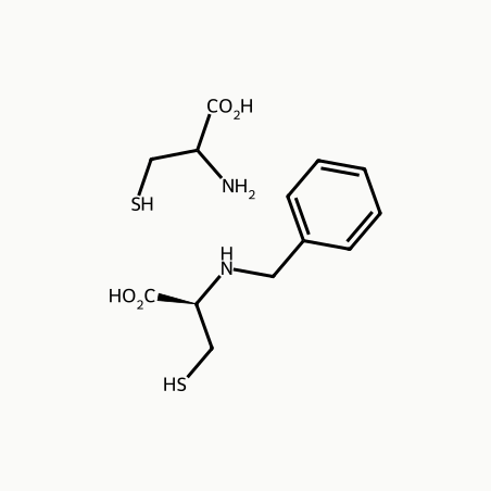 NC(CS)C(=O)O.O=C(O)[C@H](CS)NCc1ccccc1